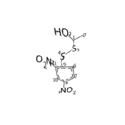 CC(O)SSc1ccc([N+](=O)[O-])cc1[N+](=O)[O-]